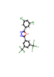 FC(F)(F)c1cc(-c2nnc(-c3cc(Br)cc(Br)c3)o2)cc(C(F)(F)F)c1